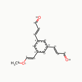 CO/C=C/c1cc(/C=C/C=O)cc(/C=C/C=O)c1